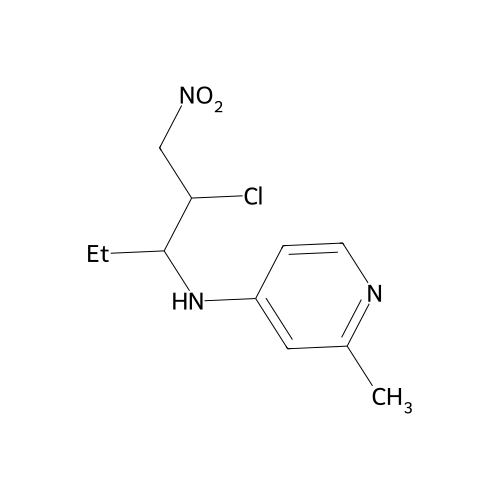 CCC(Nc1ccnc(C)c1)C(Cl)C[N+](=O)[O-]